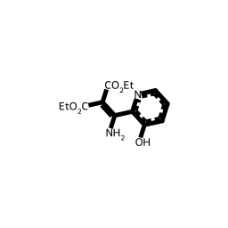 CCOC(=O)C(C(=O)OCC)=C(N)c1ncccc1O